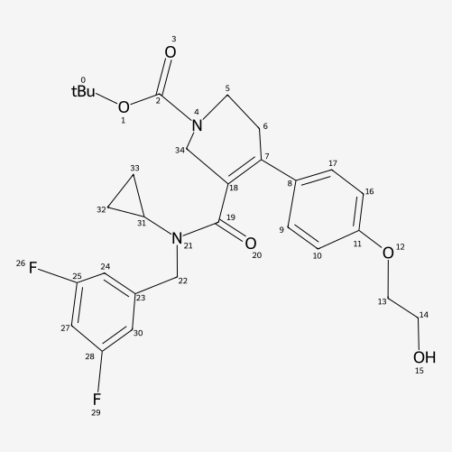 CC(C)(C)OC(=O)N1CCC(c2ccc(OCCO)cc2)=C(C(=O)N(Cc2cc(F)cc(F)c2)C2CC2)C1